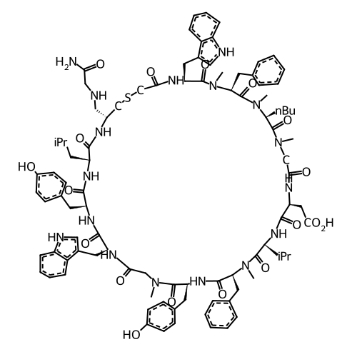 CCCC[C@H]1C(=O)N(C)CC(=O)N[C@@H](CC(=O)O)C(=O)N[C@@H](C(C)C)C(=O)N(C)[C@@H](Cc2ccccc2)C(=O)N[C@@H](Cc2ccc(O)cc2)C(=O)N(C)CC(=O)N[C@@H](Cc2c[nH]c3ccccc23)C(=O)N[C@@H](Cc2ccc(O)cc2)C(=O)N[C@@H](CC(C)C)C(=O)N[C@H](CNCC(N)=O)CSCC(=O)N[C@@H](Cc2c[nH]c3ccccc23)C(=O)N(C)[C@@H](Cc2ccccc2)C(=O)N1C